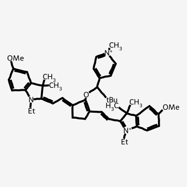 CCN1/C(=C/C=C2\CCC(/C=C/C3=[N+](CC)c4ccc(OC)cc4C3(C)C)=C2OC(c2cc[n+](C)cc2)C(C)(C)C)C(C)(C)c2cc(OC)ccc21